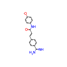 N=C(N)c1ccc(/C=C/C(=O)Nc2ccc([O])cc2)cc1